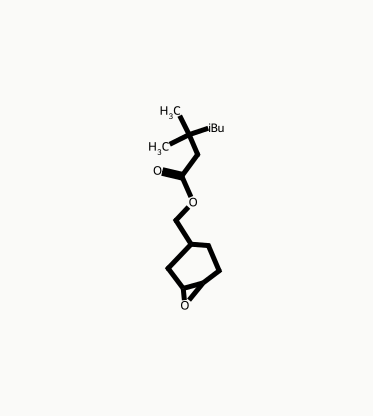 CCC(C)C(C)(C)CC(=O)OCC1CCC2OC2C1